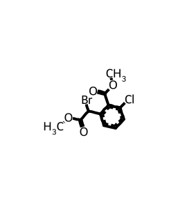 COC(=O)c1c(Cl)cccc1C(Br)C(=O)OC